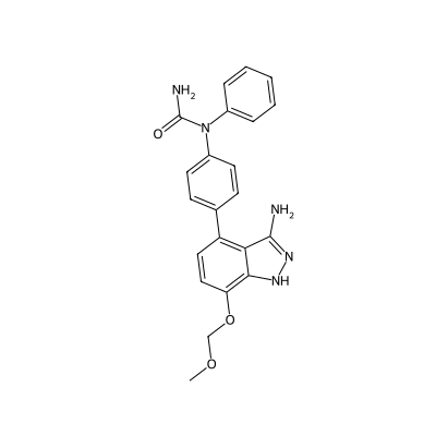 COCOc1ccc(-c2ccc(N(C(N)=O)c3ccccc3)cc2)c2c(N)n[nH]c12